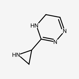 C1=NN=C(C2CN2)NC1